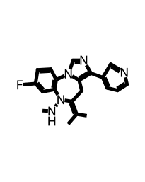 CNN1C(=C(C)C)Cc2c(-c3cccnc3)ncn2-c2ccc(F)cc21